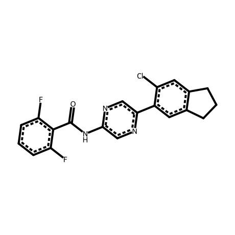 O=C(Nc1cnc(-c2cc3c(cc2Cl)CCC3)cn1)c1c(F)cccc1F